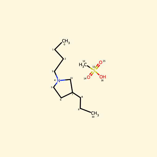 CCCCN1CCC(CCC)C1.CS(=O)(=O)O